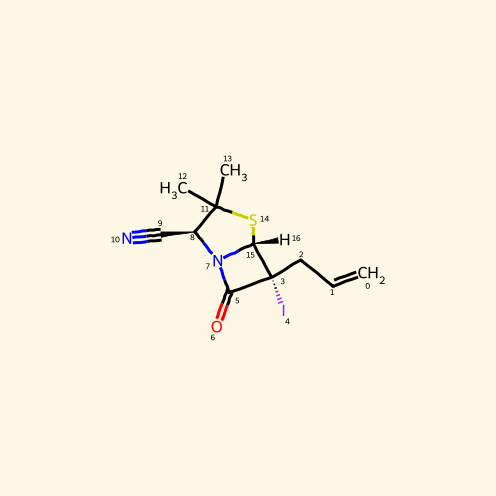 C=CC[C@@]1(I)C(=O)N2[C@@H](C#N)C(C)(C)S[C@@H]21